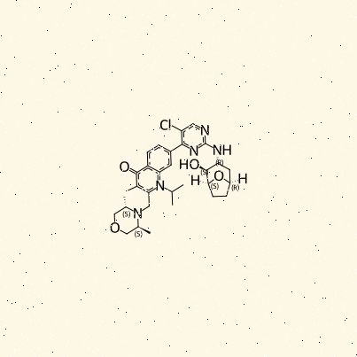 Cc1c(CN2[C@@H](C)COC[C@@H]2C)n(C(C)C)c2cc(-c3nc(N[C@@H]4C[C@H]5CC[C@H](O5)[C@H]4O)ncc3Cl)ccc2c1=O